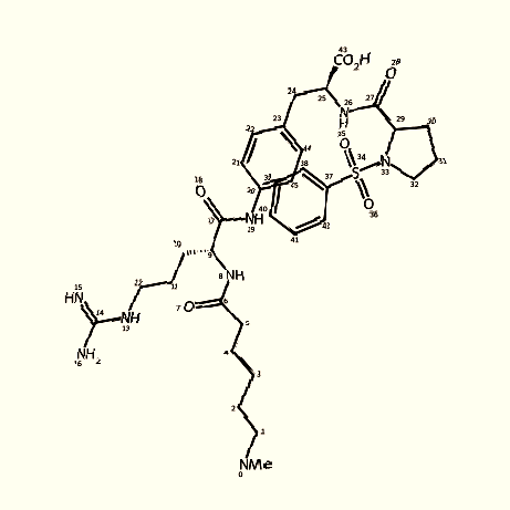 CNCCCCCC(=O)N[C@H](CCCNC(=N)N)C(=O)Nc1ccc(C[C@H](NC(=O)C2CCCN2S(=O)(=O)c2ccccc2)C(=O)O)cc1